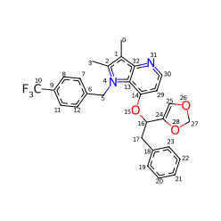 Cc1c(C)n(Cc2ccc(C(F)(F)F)cc2)c2c(OC(Cc3ccccc3)C3=COCO3)ccnc12